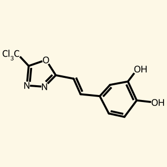 Oc1ccc(/C=C/c2nnc(C(Cl)(Cl)Cl)o2)cc1O